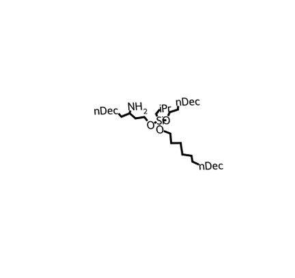 CCCCCCCCCCCCCCCCO[Si](CC(C)C)(OCCCCCCCCCCCC)OCCC(N)CCCCCCCCCCC